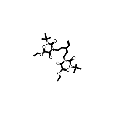 C=CC(CCN(C(=O)OC(C)(C)C)C(=O)C(=O)OCC)CCN(C(=O)OC(C)(C)C)C(=O)C(=O)OCC